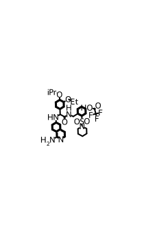 CCOc1cc(C(Nc2ccc3c(N)nccc3c2)C(=O)NCc2ccccc2S(=O)(=O)N2CCCCC2)ccc1OC(C)C.O=C(O)C(F)(F)F